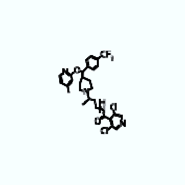 Cc1ccnc(OC(c2ccc(C(F)(F)F)cc2)C2CCN(C(C)CCNC(=O)c3c(Cl)cncc3Cl)CC2)c1